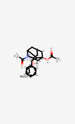 COCCO[C@@]12CC3CC(C1)[C@H]([C@@H](NC(=O)C(F)(F)F)c1ccccc1)[C@](OC(=O)C(F)(F)F)(C3)C2